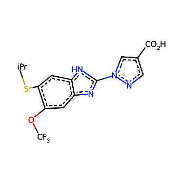 CC(C)Sc1cc2[nH]c(-n3cc(C(=O)O)cn3)nc2cc1OC(F)(F)F